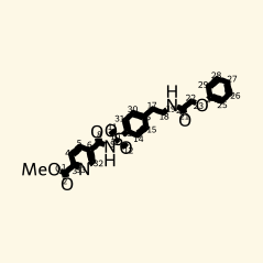 COC(=O)c1ccc(C(=O)NS(=O)(=O)c2ccc(CCNC(=O)COc3ccccc3)cc2)cn1